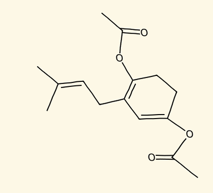 CC(=O)OC1=CC(CC=C(C)C)=C(OC(C)=O)CC1